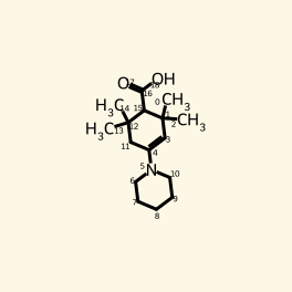 CC1(C)C=C(N2CCCCC2)CC(C)(C)C1C(=O)O